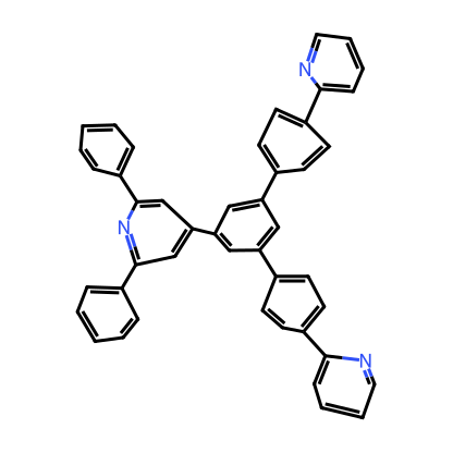 c1ccc(-c2cc(-c3cc(-c4ccc(-c5ccccn5)cc4)cc(-c4ccc(-c5ccccn5)cc4)c3)cc(-c3ccccc3)n2)cc1